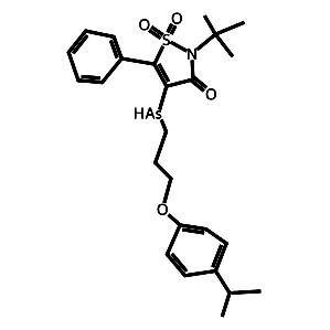 CC(C)c1ccc(OCCC[AsH]C2=C(c3ccccc3)S(=O)(=O)N(C(C)(C)C)C2=O)cc1